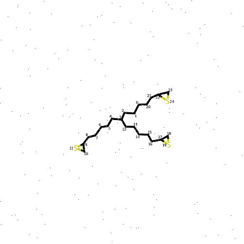 C(CCC(CCCCCC1CS1)CCCCCC1CS1)CCC1CS1